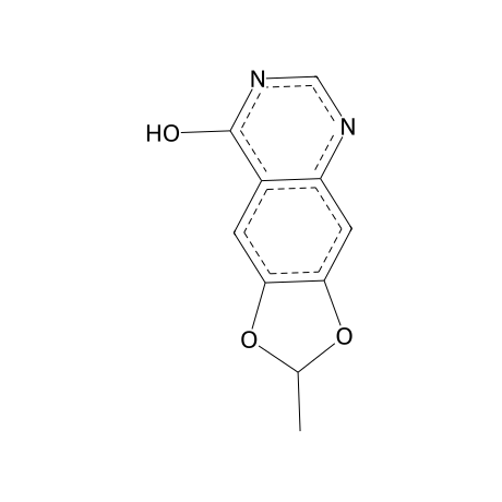 CC1Oc2cc3ncnc(O)c3cc2O1